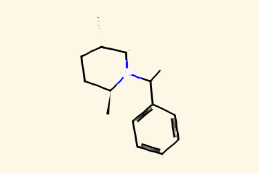 CC(c1ccccc1)N1C[C@@H](C)CC[C@@H]1C